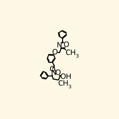 Cc1oc(-c2ccccc2)nc1COc1cccc(CON=C(CC(C)C(=O)O)c2ccccc2)c1